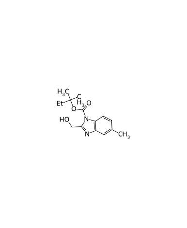 CCC(C)(C)OC(=O)n1c(CO)nc2cc(C)ccc21